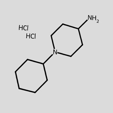 Cl.Cl.NC1CCN(C2CCCCC2)CC1